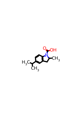 CC(C)c1ccc2c(c1)CC(C)N2C(=O)O